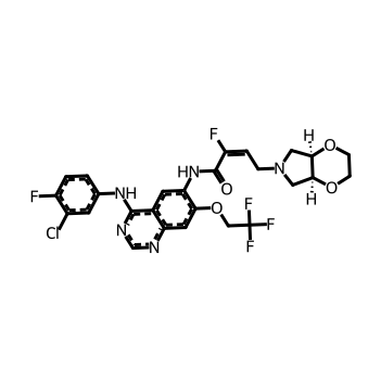 O=C(Nc1cc2c(Nc3ccc(F)c(Cl)c3)ncnc2cc1OCC(F)(F)F)/C(F)=C\CN1C[C@@H]2OCCO[C@@H]2C1